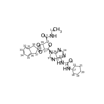 CCNC(=O)[C@H]1O[C@@H](n2cnc3c(NC(=O)NC4CCCCC4)ncnc32)C2OC3(Cc4ccccc4C3)OC21